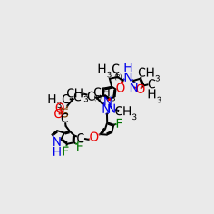 Cc1onc(NC(=O)[C@H](C)Cc2cccc([C@@]3(C)CCCC(C)(C)CS(=O)(=O)CCc4c(c(F)c(F)c5[nH]ccc45)CCOc4ccc(F)c(c4)-c4nc3nn4C)c2)c1C